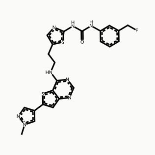 Cn1cc(-c2cc3ncnc(NCCc4cnc(NC(=O)Nc5cccc(CF)c5)s4)c3s2)cn1